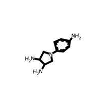 Nc1ccc(N2CC(N)C(N)C2)cc1